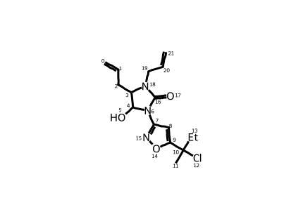 C=CCC1C(O)N(c2cc(C(C)(Cl)CC)on2)C(=O)N1CC=C